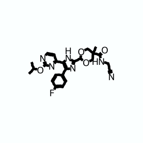 CC(C)Oc1nccc(-c2[nH]c(C3OCC(C)(C(=O)NCC#N)CO3)nc2-c2ccc(F)cc2)n1